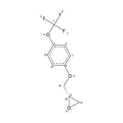 FC(F)(F)Oc1ccc(OC[C@@H]2CO2)cc1